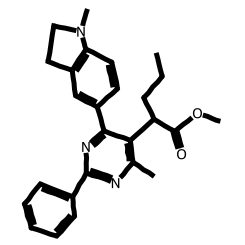 CCCC(C(=O)OC)c1c(C)nc(-c2ccccc2)nc1-c1ccc2c(c1)CCN2C